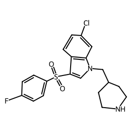 O=S(=O)(c1ccc(F)cc1)c1cn(CC2CCNCC2)c2cc(Cl)ccc12